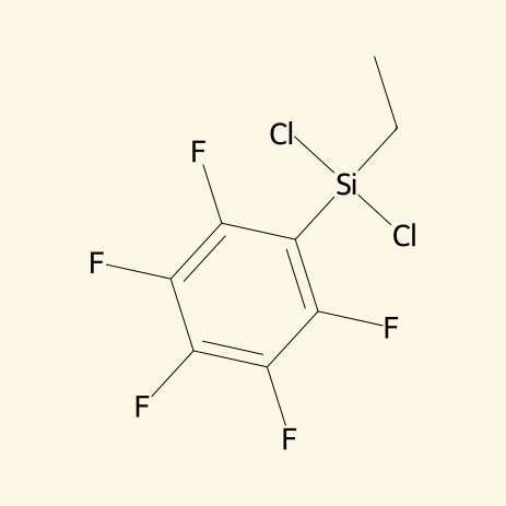 CC[Si](Cl)(Cl)c1c(F)c(F)c(F)c(F)c1F